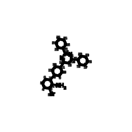 Nc1c(Br)cccc1-c1ccc(-c2cc(-c3ccccc3)nc(-c3ccccc3)n2)cc1